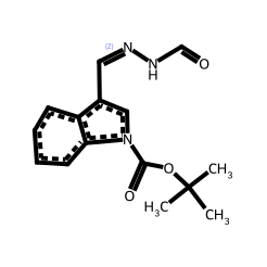 CC(C)(C)OC(=O)n1cc(/C=N\NC=O)c2ccccc21